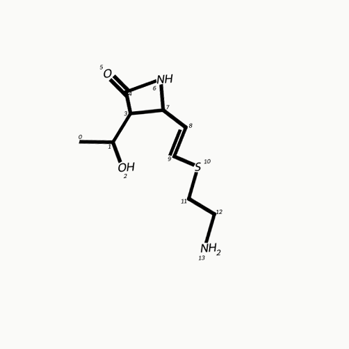 CC(O)C1C(=O)NC1C=CSCCN